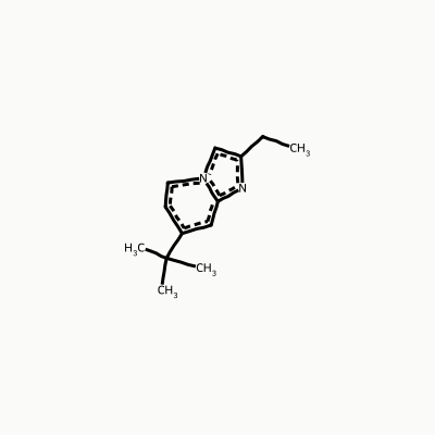 CCc1cn2ccc(C(C)(C)C)cc2n1